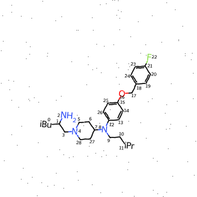 CCC(C)C(N)CN1CCC(N(CCC(C)C)c2ccc(OCc3ccc(F)cc3)cc2)CC1